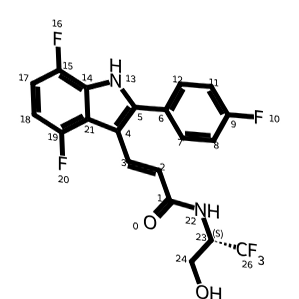 O=C(C=Cc1c(-c2ccc(F)cc2)[nH]c2c(F)ccc(F)c12)N[C@@H](CO)C(F)(F)F